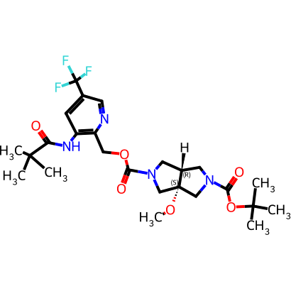 CO[C@]12CN(C(=O)OCc3ncc(C(F)(F)F)cc3NC(=O)C(C)(C)C)C[C@@H]1CN(C(=O)OC(C)(C)C)C2